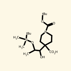 CC(O[Si](C)(C)C(C)(C)C)C(O)C1(C(=O)O)CCN(C(=O)OC(C)(C)C)CC1